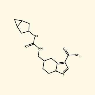 NC(=O)c1cnn2c1CC(CNC(=O)NC1CC3CC3C1)CC2